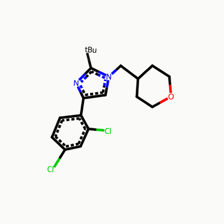 CC(C)(C)c1nc(-c2ccc(Cl)cc2Cl)cn1CC1CCOCC1